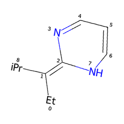 CC/C(=C1/N=CC=CN1)C(C)C